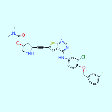 CN(C)C(=O)O[C@@H]1CN[C@H](C#Cc2cc3c(Nc4ccc(OCc5cccc(F)c5)c(Cl)c4)ncnc3s2)C1